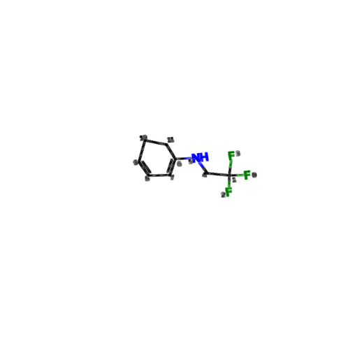 FC(F)(F)CNC1=CC=CCC1